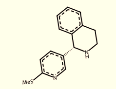 CSc1ccc([C@H]2NCCc3ccccc32)cn1